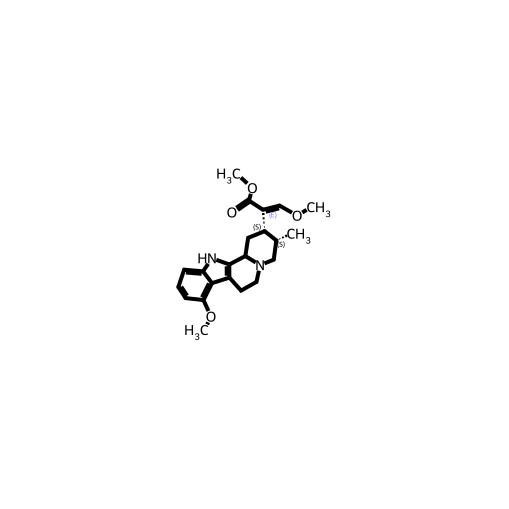 CO/C=C(/C(=O)OC)[C@H]1CC2c3[nH]c4cccc(OC)c4c3CCN2C[C@H]1C